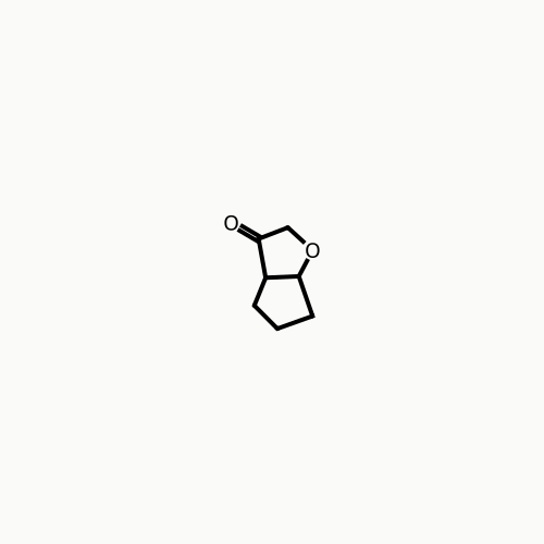 O=C1COC2CCCC12